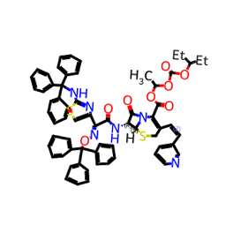 CCC(CC)OC(=O)OC(C)OC(=O)C1=C(/C=C\c2cccnc2)CS[C@H]2[C@H](NC(=O)C(=NOC(c3ccccc3)(c3ccccc3)c3ccccc3)c3csc(NC(c4ccccc4)(c4ccccc4)c4ccccc4)n3)C(=O)N12